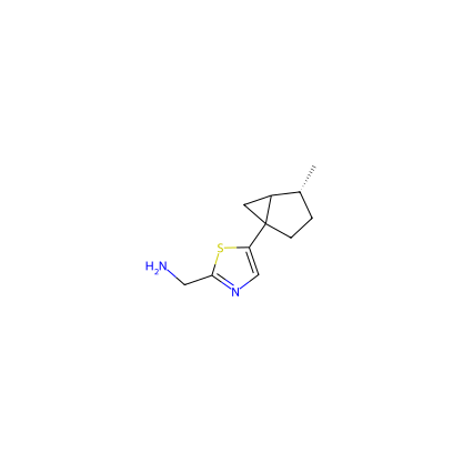 C[C@@H]1CCC2(c3cnc(CN)s3)CC12